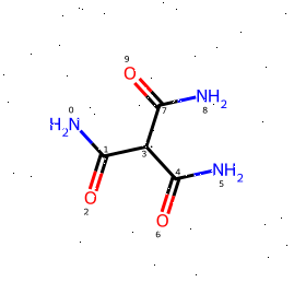 NC(=O)[C](C(N)=O)C(N)=O